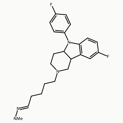 CNN=CCCCCN1CCC2C(C1)c1cc(F)ccc1N2c1ccc(F)cc1